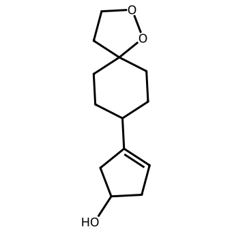 OC1CC=C(C2CCC3(CCOO3)CC2)C1